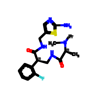 CC(C)N(C)[C@@H](C)C(=O)NC[C@H](C(=O)NCc1cnc(N)s1)c1ccccc1F